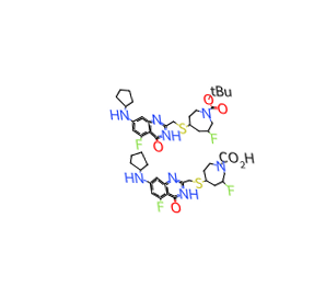 CC(C)(C)OC(=O)N1CCC(SCc2nc3cc(NC4CCCC4)cc(F)c3c(=O)[nH]2)CC(F)C1.O=C(O)N1CCC(SCc2nc3cc(NC4CCCC4)cc(F)c3c(=O)[nH]2)CC(F)C1